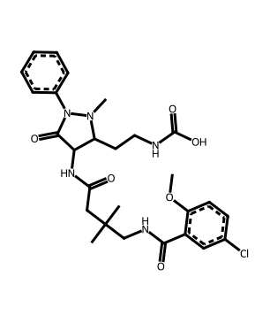 COc1ccc(Cl)cc1C(=O)NCC(C)(C)CC(=O)NC1C(=O)N(c2ccccc2)N(C)C1CCNC(=O)O